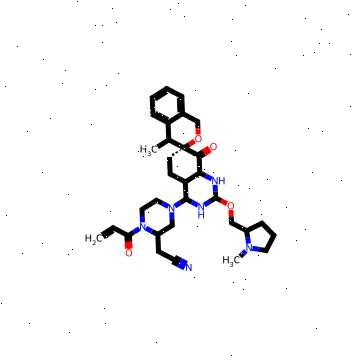 C=CC(=O)N1CCN(C2NC(OCC3CCCN3C)NC3C(=O)[C@]4(CCC32)OCc2ccccc2C4C)CC1CC#N